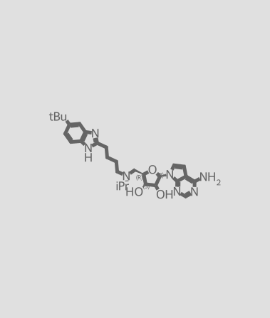 CC(C)N(CCCCc1nc2cc(C(C)(C)C)ccc2[nH]1)C[C@H]1O[C@@H](n2ccc3c(N)ncnc32)C(O)[C@@H]1O